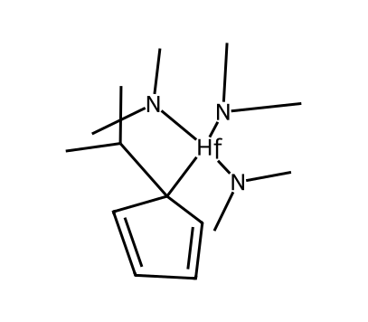 CC(C)[C]1([Hf]([N](C)C)([N](C)C)[N](C)C)C=CC=C1